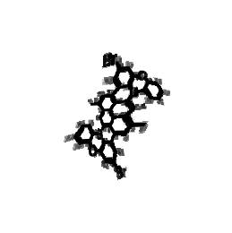 Cc1cc2c3c(cc4c(C)cc5c6c(cc1c3c46)B1c3ccccc3Oc3cc(Br)cc-5c31)B1c3ccccc3Oc3cc(Br)cc-2c31